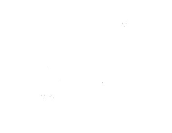 CNC(=O)c1c(Cl)n(C)c2cc(OC)ccc12